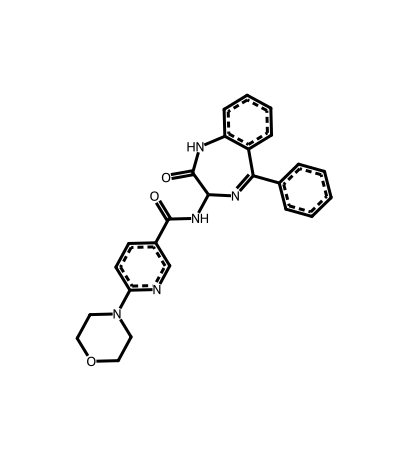 O=C(NC1N=C(c2ccccc2)c2ccccc2NC1=O)c1ccc(N2CCOCC2)nc1